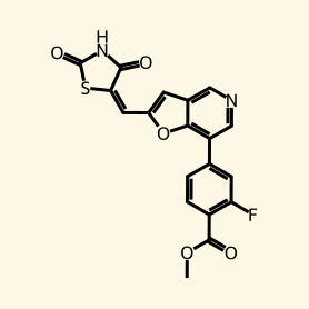 COC(=O)c1ccc(-c2cncc3cc(C=C4SC(=O)NC4=O)oc23)cc1F